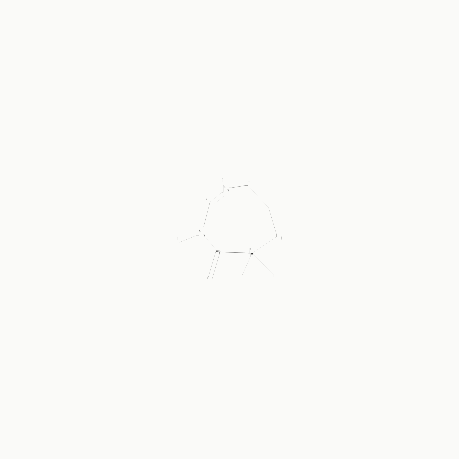 C=C1N(C)/C=N\CCCC1(C)C